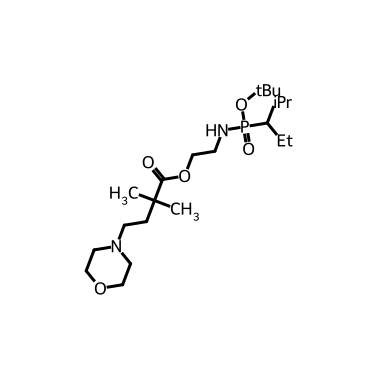 CCC(C(C)C)P(=O)(NCCOC(=O)C(C)(C)CCN1CCOCC1)OC(C)(C)C